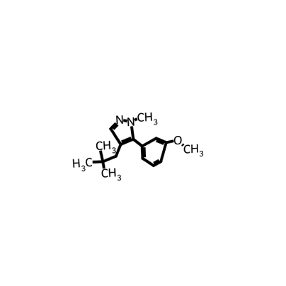 COc1cccc(-c2c(CC(C)(C)C)cnn2C)c1